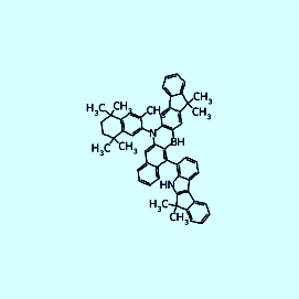 Cc1cc2c(cc1N1c3cc4c(cc3Bc3c1cc1ccccc1c3-c1cccc3c5c([nH]c13)C(C)(C)c1ccccc1-5)C(C)(C)c1ccccc1-4)C(C)(C)CCC2(C)C